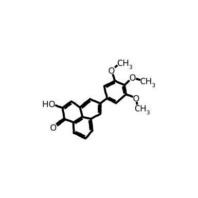 COc1cc(-c2cc3c4c(cccc4c2)C(=O)C(O)=C3)cc(OC)c1OC